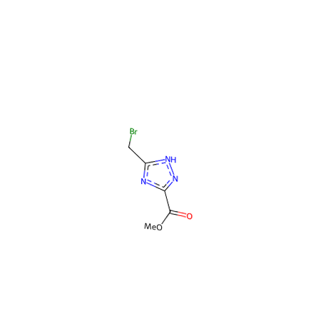 COC(=O)c1n[nH]c(CBr)n1